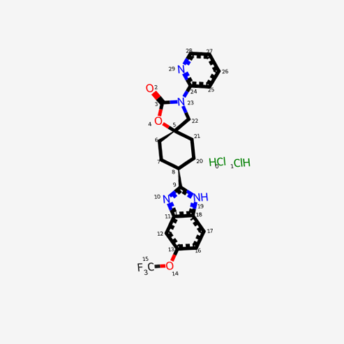 Cl.Cl.O=C1O[C@]2(CC[C@H](c3nc4cc(OC(F)(F)F)ccc4[nH]3)CC2)CN1c1ccccn1